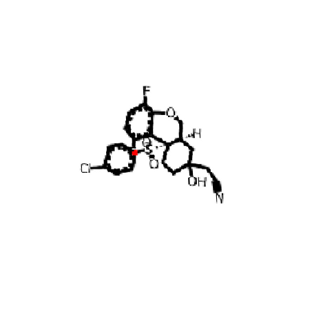 N#CCC1(O)CC[C@@]2(S(=O)(=O)c3ccc(Cl)cc3)c3c(F)ccc(F)c3OC[C@H]2C1